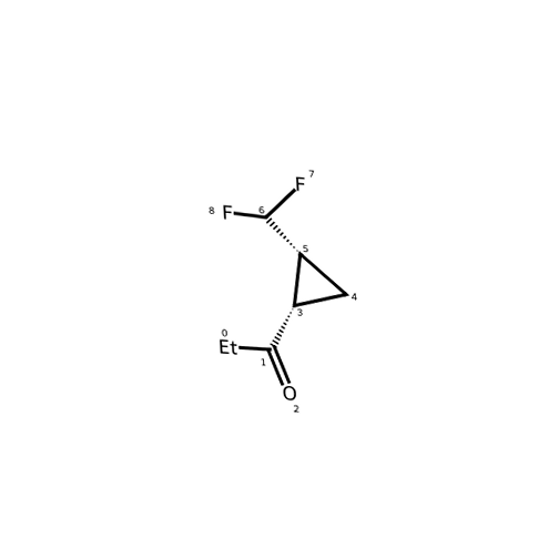 CCC(=O)[C@H]1C[C@H]1C(F)F